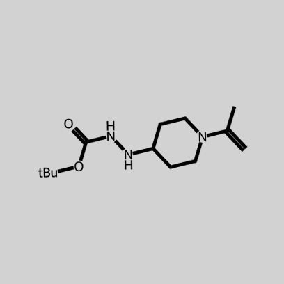 C=C(C)N1CCC(NNC(=O)OC(C)(C)C)CC1